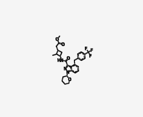 COC(=O)CC1CC(NC(=O)c2nn(C3CCCCO3)c3cccc(Cc4ccc(C(F)(F)F)cc4)c23)C1C